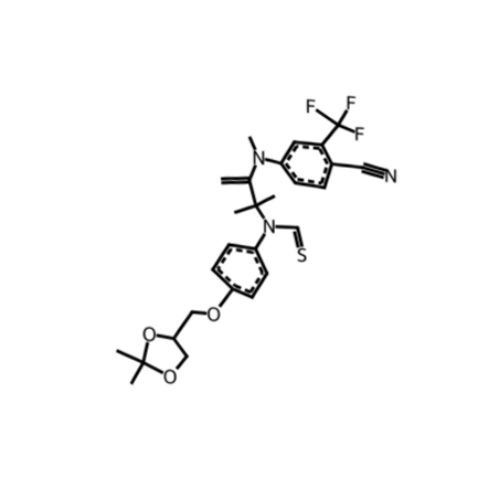 C=C(N(C)c1ccc(C#N)c(C(F)(F)F)c1)C(C)(C)N(C=S)c1ccc(OCC2COC(C)(C)O2)cc1